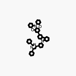 c1ccc(-c2cc(-c3cccc(-n4c5ccccc5c5cc(-c6cc7c8c(c6)Oc6ccccc6N8c6ccccc6O7)ccc54)c3)nc(-c3ccccc3)n2)cc1